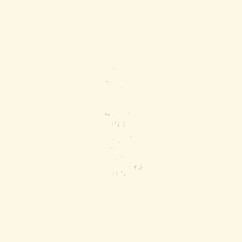 N=C(N)c1ccc(CNC(=O)c2cccc(-c3ccccc3)c2)c(Cl)c1